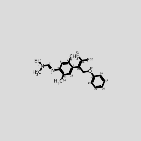 CCN(C)C=Nc1cc(C)c(C(COc2ccccc2)=C(F)F)cc1C